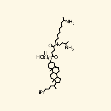 CC(C)CCCC(C)C1CCC2C3CC=C4CC(OC(=O)CCC(=O)N(CCCCCCCC(C)N)CCC(C)N)CCC4(C)C3CCC12C.Cl.Cl